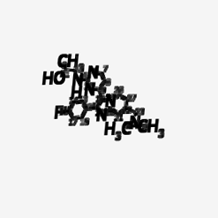 CC(O)CNc1nccc(-c2c(-c3ccc(F)cc3)nc3cc(CN(C)C)ccn23)n1